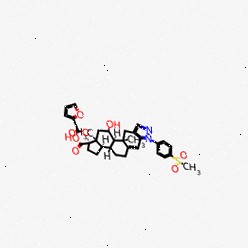 C[C@@]12Cc3cnn(-c4ccc(S(C)(=O)=O)cc4)c3C=C1CC[C@H]1[C@H]2[C@H](O)C[C@]2(C)[C@@H]1CC[C@@]2(OC(=O)c1ccco1)C(=O)O